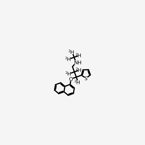 [2H]C([2H])([2H])NCC([2H])([2H])C([2H])(Oc1cccc2ccccc12)c1cccs1